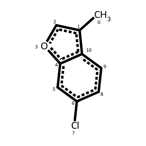 Cc1coc2cc(Cl)ccc12